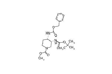 COC(=O)N1CC[C@H](NC(=O)OCc2ccccc2)[C@H](NC(=O)OC(C)(C)C)C1